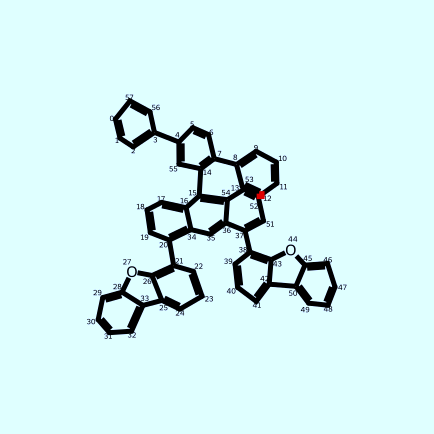 c1ccc(-c2ccc(-c3ccccc3)c(-c3c4cccc(-c5cccc6c5oc5ccccc56)c4cc4c(-c5cccc6c5oc5ccccc56)cccc34)c2)cc1